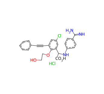 Cl.N=C(N)c1ccc(NC(C(=O)O)c2cc(Cl)cc(C#Cc3ccccc3)c2OCCO)cc1